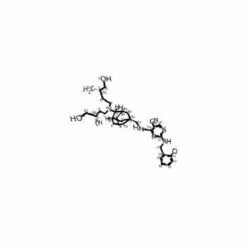 C[C@H](CO)CCN(CC[C@H](O)CO)[C@@H]1[C@@H]2CC3C[C@H]1C[C@@](CNc1nc(NCc4ccccc4Cl)ncc1C#N)(C3)C2